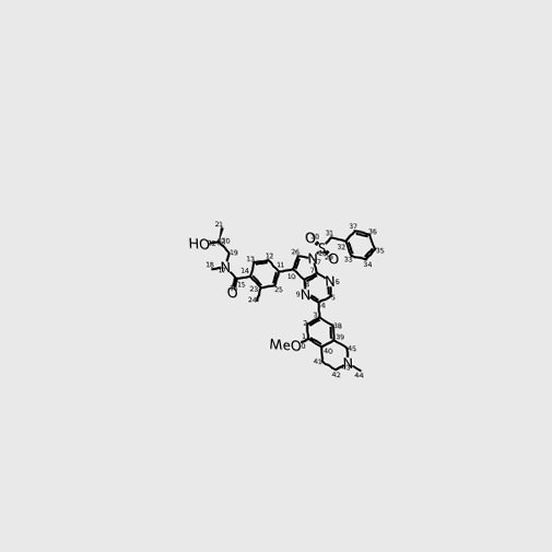 COc1cc(-c2cnc3c(n2)c(-c2ccc(C(=O)N(C)C[C@H](C)O)c(C)c2)cn3S(=O)(=O)Cc2ccccc2)cc2c1CCN(C)C2